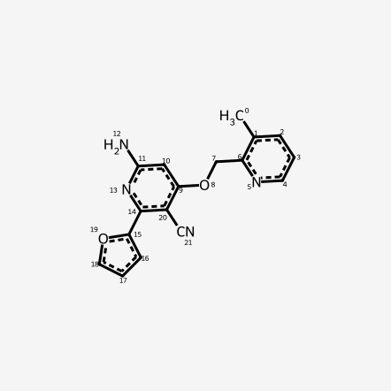 Cc1cccnc1COc1cc(N)nc(-c2ccco2)c1C#N